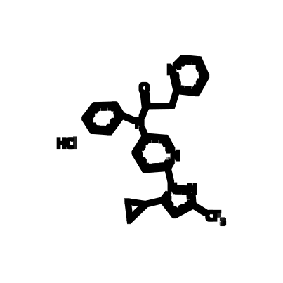 Cl.O=C(Cc1ccccn1)N(c1ccccc1)c1ccc(-n2nc(C(F)(F)F)cc2C2CC2)nc1